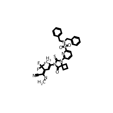 C=N/C(C#N)=C(\C=C(/C)N1C(=O)C2(CCC2)N(c2cccc(S(=O)(=O)N(Cc3ccccc3)Cc3ccccc3)n2)C1=S)C(F)(F)F